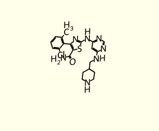 Cc1cccc(Cl)c1-c1nc(Nc2cc(NCC3CCNCC3)ncn2)sc1C(N)=O